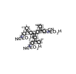 Cc1cccc(N(c2ccc(/C=C(/C#N)C(=O)O)cc2)c2ccc(N(c3ccc(N(c4ccc(/C=C(/C#N)C(=O)O)cc4)c4cccc(C)c4)cc3)c3ccc(N(c4ccc(/C=C(\C#N)C(=O)O)cc4)c4cccc(C)c4)cc3)cc2)c1